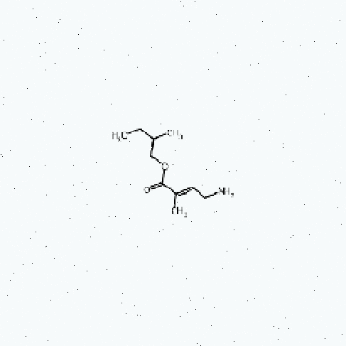 CCC(C)COC(=O)C(C)=CCN